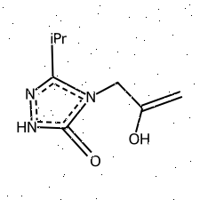 C=C(O)Cn1c(C(C)C)n[nH]c1=O